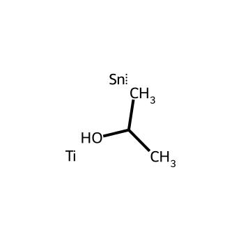 CC(C)O.[Sn].[Ti]